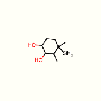 CC1C(O)C(O)CCC1(C)[SiH3]